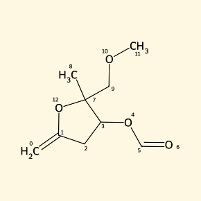 C=C1CC(OC=O)C(C)(COC)O1